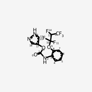 O=C(Nc1ccccc1OC(F)(F)C(F)C(F)(F)F)Oc1cn[nH]c1